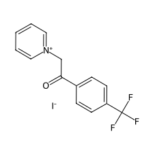 O=C(C[n+]1ccccc1)c1ccc(C(F)(F)F)cc1.[I-]